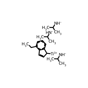 CC(C)[NH-].CC(C)[NH-].CC(C)[NH-].CCc1cccc2c1C=C[CH]2[Ti+3]